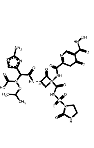 CC(C)ON(C(=O)O)C(C(=O)N[C@H]1C[N+](NC(=O)C2=NC=C(C(=O)NO)C(=O)C2)(C(=O)NS(=O)(=O)N2CCNC2=O)C1=O)c1csc(N)n1